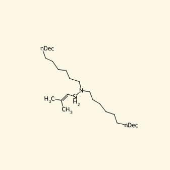 CCCCCCCCCCCCCCCCN(CCCCCCCCCCCCCCCC)[SiH2]C=C(C)C